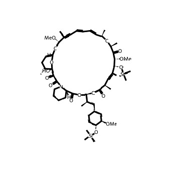 CO[C@H]1C[C@@H]2CC[C@@H](C)[C@@](O)(O2)C(=O)C(=O)N2CCCC[C@H]2C(=O)O[C@H]([C@H](C)C[C@@H]2CC[C@@H](O[Si](C)(C)C)[C@H](OC)C2)CC(=O)[C@H](C)/C=C(\C)[C@@H](O[Si](C)(C)C)[C@@H](OC)C(=O)[C@H](C)C[C@H](C)/C=C/C=C/C=C/1C